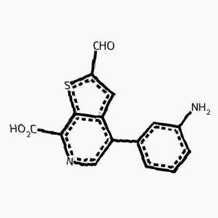 Nc1cccc(-c2cnc(C(=O)O)c3sc(C=O)cc23)c1